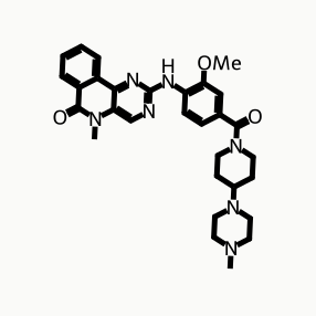 COc1cc(C(=O)N2CCC(N3CCN(C)CC3)CC2)ccc1Nc1ncc2c(n1)c1ccccc1c(=O)n2C